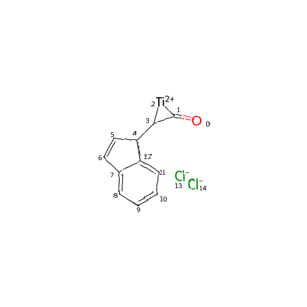 O=[C]1[Ti+2][CH]1C1C=Cc2ccccc21.[Cl-].[Cl-]